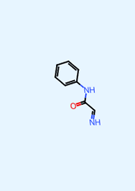 N=CC(=O)Nc1ccccc1